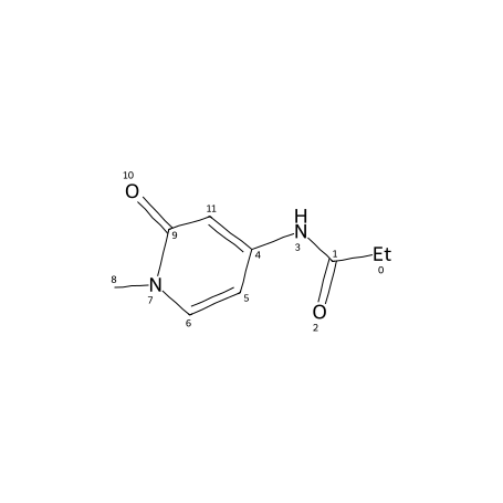 CCC(=O)Nc1ccn(C)c(=O)c1